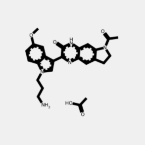 CC(=O)O.COc1ccc2c(c1)c(-c1nc3cc4c(cc3[nH]c1=O)N(C(C)=O)CC4)cn2CCCN